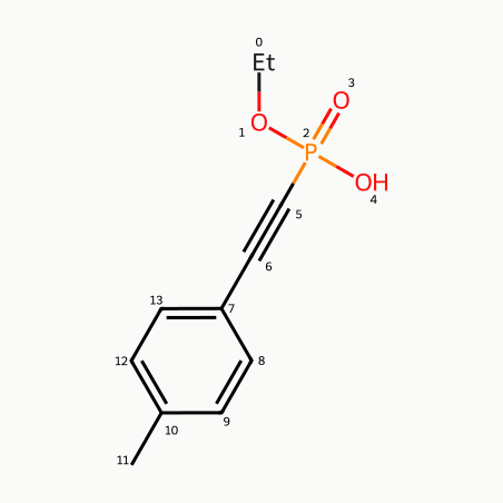 CCOP(=O)(O)C#Cc1ccc(C)cc1